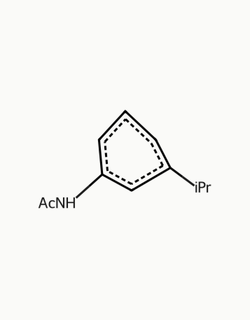 [CH2]C(=O)Nc1cccc(C(C)C)c1